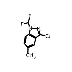 Cc1ccc2c(c1)c(Cl)nn2C(F)F